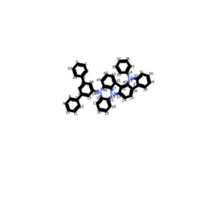 c1ccc(-c2cc(-c3ccccc3)cc(N3c4ccccc4-n4c5ccc6c7ccccc7n(-c7ccccc7)c6c5c5cccc3c54)c2)cc1